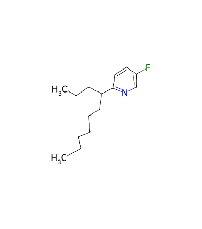 CCCCCCC(CCC)c1ccc(F)cn1